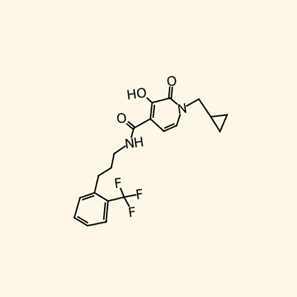 O=C(NCCCc1ccccc1C(F)(F)F)c1ccn(CC2CC2)c(=O)c1O